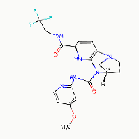 COc1ccnc(NC(=O)N2C3=C(C=CC(C(=O)NCC(F)(F)F)N3)N3CC[C@H]2C3)c1